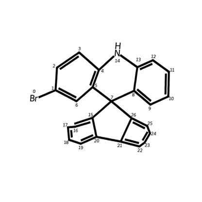 Brc1ccc2c(c1)C1(c3ccccc3N2)c2ccccc2-c2ccccc21